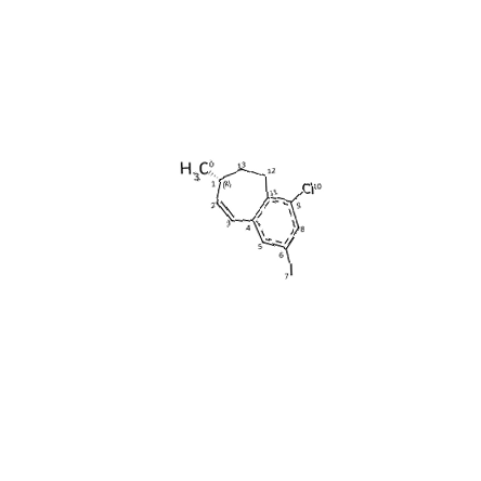 C[C@H]1C=Cc2cc(I)cc(Cl)c2CC1